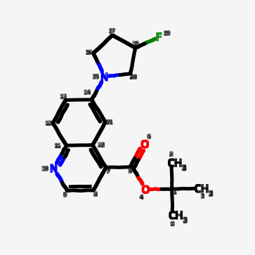 CC(C)(C)OC(=O)c1ccnc2ccc(N3CCC(F)C3)cc12